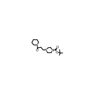 CC(C)(C)OC(=O)N1CCN(CCC(=O)N2CC[CH]CC2)CC1